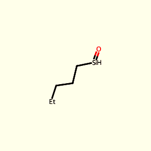 CCCCC[SiH]=O